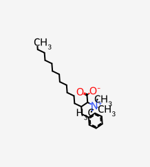 CCCCCCCCCCCCC(Cc1ccccc1)C(C(=O)[O-])[N+](C)(C)C